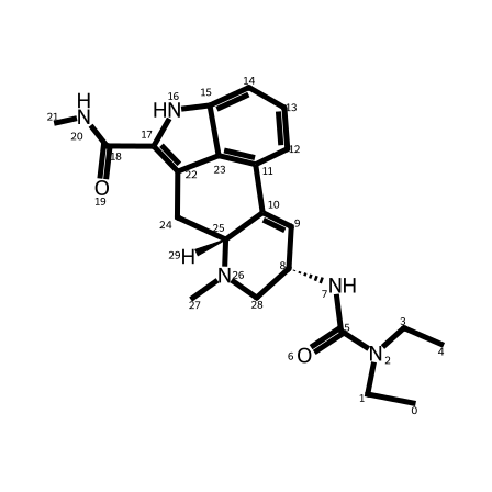 CCN(CC)C(=O)N[C@H]1C=C2c3cccc4[nH]c(C(=O)NC)c(c34)C[C@H]2N(C)C1